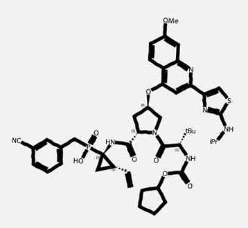 C=C[C@@H]1C[C@]1(NC(=O)[C@@H]1C[C@@H](Oc2cc(-c3csc(NC(C)C)n3)nc3cc(OC)ccc23)CN1C(=O)[C@@H](NC(=O)OC1CCCC1)C(C)(C)C)P(=O)(O)Cc1cccc(C#N)c1